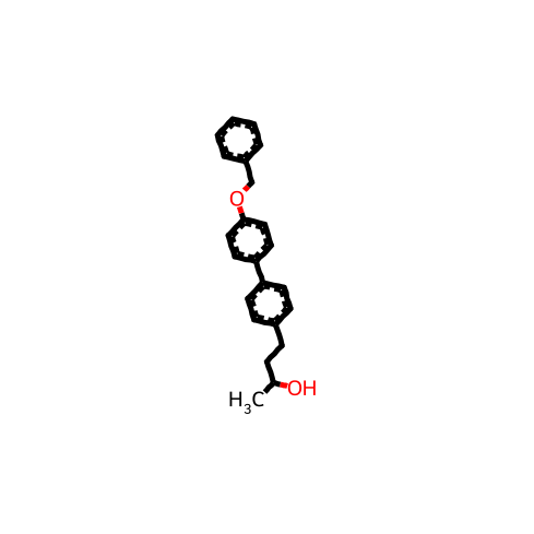 CC(O)CCc1ccc(-c2ccc(OCc3ccccc3)cc2)cc1